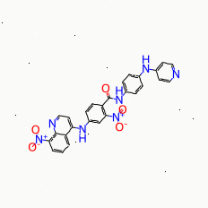 O=C(Nc1ccc(Nc2ccncc2)cc1)c1ccc(Nc2ccnc3c([N+](=O)[O-])cccc23)cc1[N+](=O)[O-]